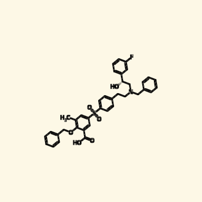 Cc1cc(S(=O)(=O)c2ccc(CCN(Cc3ccccc3)C[C@H](O)c3cccc(F)c3)cc2)cc(C(=O)O)c1OCc1ccccc1